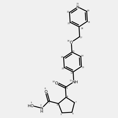 O=C(NO)C1CCCC1C(=O)Nc1ccc(OCc2ccncc2)cc1